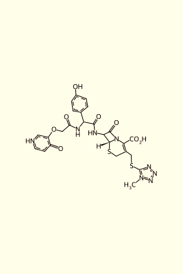 Cn1nnnc1SCC1=C(C(=O)O)N2C(=O)C(NC(=O)C(NC(=O)COc3c[nH]ccc3=O)c3ccc(O)cc3)[C@H]2SC1